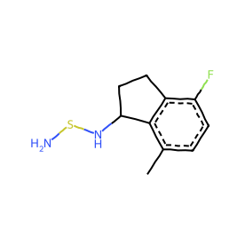 Cc1ccc(F)c2c1C(NSN)CC2